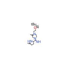 C[C@@H]1CCC(C(=N)N2CCN(CCO[Si](C)(C)C(C)(C)C)[C@H](C)C2)N1